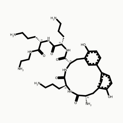 NCCC[C@H](NC(=O)[C@H](CCCN)NC(=O)[C@@H]1Cc2cc(ccc2O)-c2ccc(O)c(c2)C[C@H](N)C(=O)N[C@@H](CCCN)C(=O)N1)C(=O)NCCN